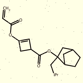 C=CC(=O)OC1=CC(C(=O)OC2(CC(C)C)CC3CCC2C3)C1